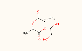 CC1OC(=O)[C@H](C)OC1=O.OCCO